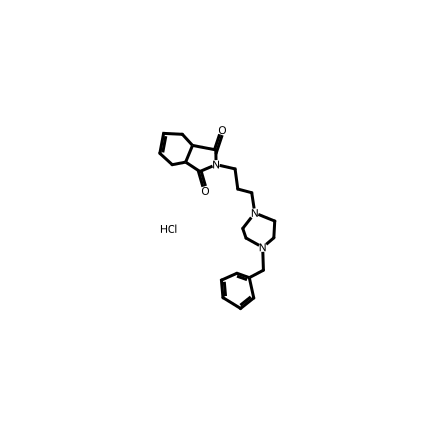 Cl.O=C1C2CC=CCC2C(=O)N1CCCN1CCN(Cc2ccccc2)CC1